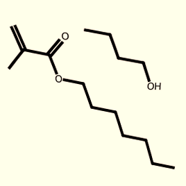 C=C(C)C(=O)OCCCCCCC.CCCCO